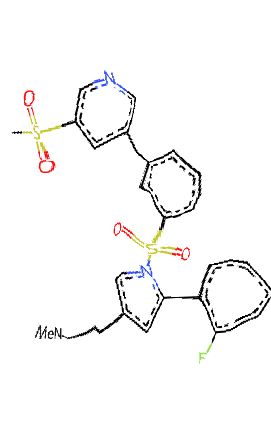 CNCc1cc(-c2ccccc2F)n(S(=O)(=O)c2cccc(-c3cncc(S(C)(=O)=O)c3)c2)c1